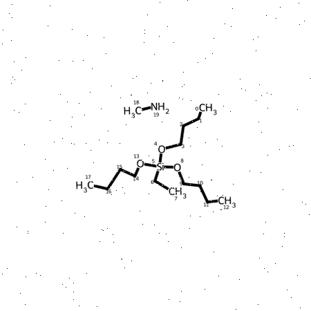 CCCCO[Si](CC)(OCCCC)OCCCC.CN